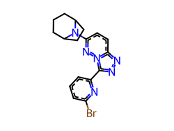 Brc1cccc(-c2nnc3ccc(N4C5CCCC4CC5)nn23)n1